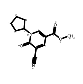 COC(=O)c1cc(C#N)c(=O)n(C2CCCC2)c1